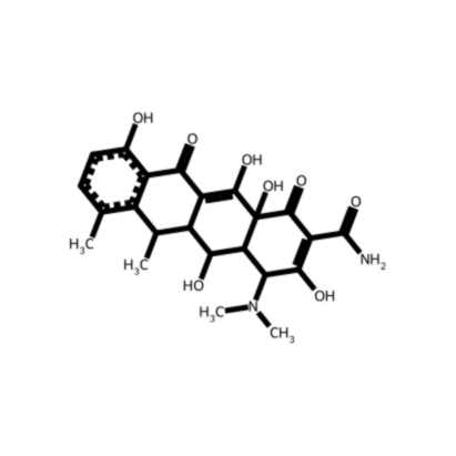 Cc1ccc(O)c2c1C(C)C1C(=C(O)C3(O)C(=O)C(C(N)=O)=C(O)C(N(C)C)C3C1O)C2=O